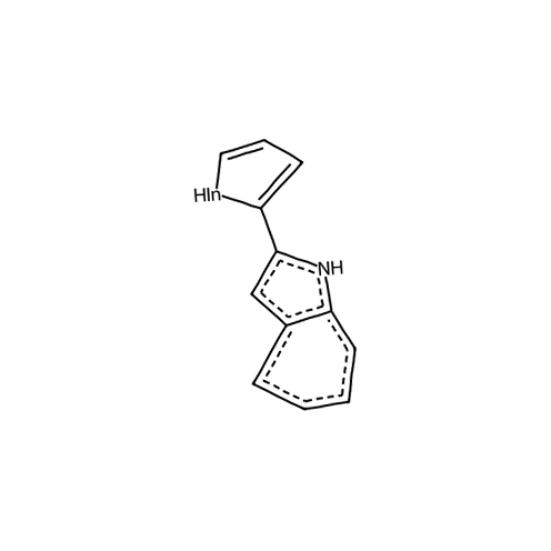 C1=[CH][InH][C](c2cc3ccccc3[nH]2)=C1